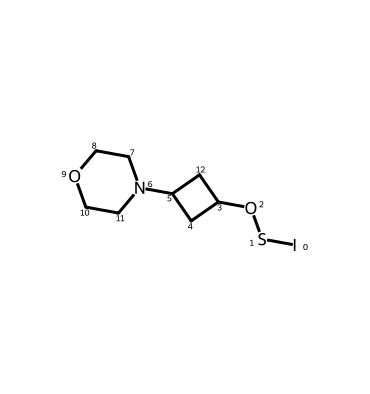 ISOC1CC(N2CCOCC2)C1